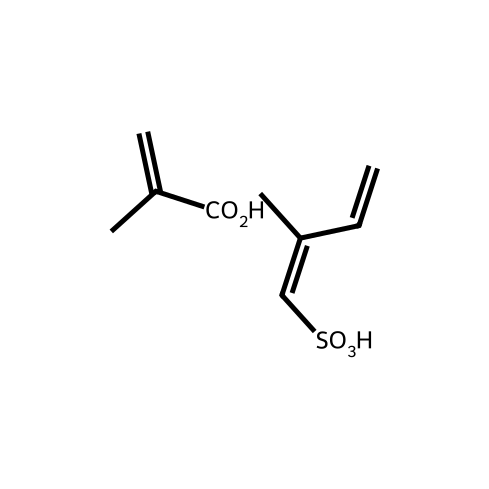 C=C(C)C(=O)O.C=CC(C)=CS(=O)(=O)O